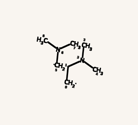 [CH2]CN(C)C.[CH2]N(C)C